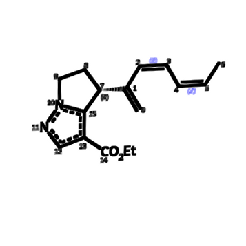 C=C(/C=C\C=C/C)[C@H]1CCn2ncc(C(=O)OCC)c21